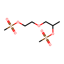 CC(COCCOS(C)(=O)=O)OS(C)(=O)=O